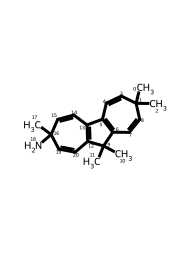 CC1(C)C=CC2=C(C=C1)C(C)(C)C1=C2C=CC(C)(N)C=C1